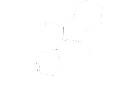 O=C1C2SCCSC2C(O)N1c1ccccc1